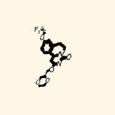 O=c1nc(OC[C@@H]2COCCO2)cc2n1CCc1cc(OSC(F)(F)F)ccc1-2